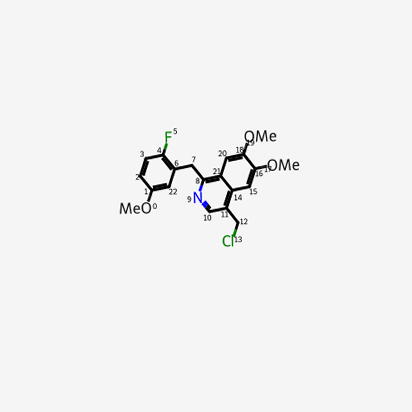 COc1ccc(F)c(Cc2ncc(CCl)c3cc(OC)c(OC)cc23)c1